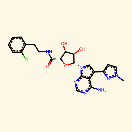 Cn1ccc(-c2cn([C@@H]3O[C@H](C(=O)NCCc4ccccc4Cl)[C@@H](O)[C@H]3O)c3ncnc(N)c23)n1